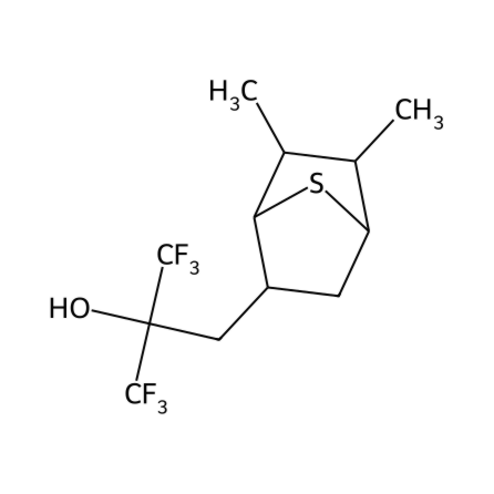 CC1C2CC(CC(O)(C(F)(F)F)C(F)(F)F)C(S2)C1C